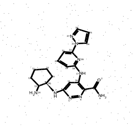 NC(=O)c1nnc(N[C@@H]2CCCCC2N)cc1Nc1cccc(-n2cccn2)n1